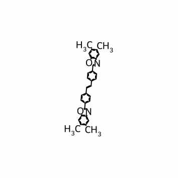 Cc1cc2nc(-c3ccc(C=Cc4ccc(-c5nc6cc(C)c(C)cc6o5)cc4)cc3)oc2cc1C